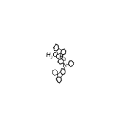 CC1(C)c2ccccc2-c2cccc(-c3cccc(N(c4ccccc4)c4ccc5c(c4)C4(CCCCC4)c4ccccc4-5)c3)c21